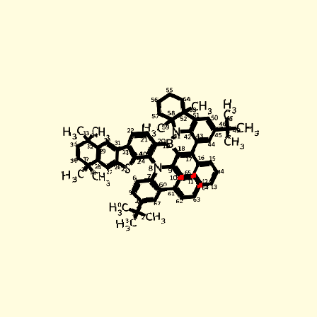 CC(C)(C)c1ccc(N2c3cc4ccccc4c4c3B(c3ccc5c(sc6cc7c(cc65)C(C)(C)CCC7(C)C)c32)N2c3c-4cc(C(C)(C)C)cc3C3(C)CCCCC23C)c(-c2ccccc2)c1